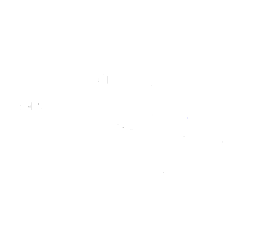 O=CC1=C(Cl)C2=C(Cl)/C(=C/O)CCC2CC1